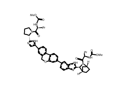 COC(=O)NC(C(=O)N1[C@@H]2CC[C@@H](C2)[C@H]1c1nc2ccc(-c3ccc4c(c3)OCc3cc(-c5cnc([C@@H]6CCCN6C(=O)[C@@H](NC(=O)OC)C(C)C)[nH]5)ccc3-4)cc2[nH]1)C(C)C